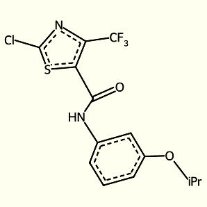 CC(C)Oc1cccc(NC(=O)c2sc(Cl)nc2C(F)(F)F)c1